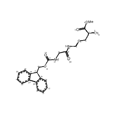 COC(=O)[C@@H](C)COCNC(=O)CNC(=O)OCC1c2ccccc2-c2ccccc21